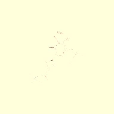 CC(C)(C)OC(=O)N1CC(n2nc(CC(=O)O)c3ccccc3c2=O)C1